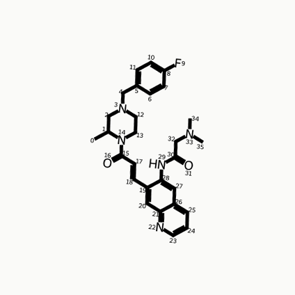 CC1CN(Cc2ccc(F)cc2)CCN1C(=O)C=Cc1cc2ncccc2cc1NC(=O)CN(C)C